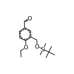 CCOc1ccc(C=O)cc1CO[Si](C)(C)C(C)(C)C